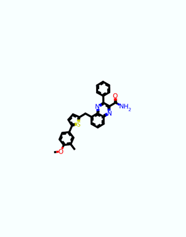 COc1ccc(-c2ccc(Cc3cccc4nc(C(N)=O)c(-c5ccccc5)nc34)s2)cc1C